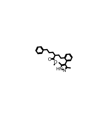 COC(=O)C(CCCc1ccccc1)CCc1ccccc1-c1c(C)n[nH]c1C